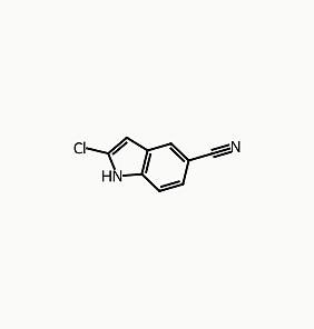 N#Cc1ccc2[nH]c(Cl)cc2c1